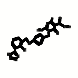 CCCCc1nc(C)c(C(=O)OC)c(=O)n1Cc1ccc(OCc2cccc(-c3nnn[nH]3)c2Cl)cc1